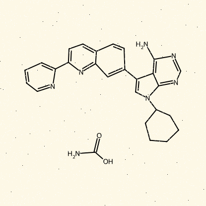 NC(=O)O.Nc1ncnc2c1c(-c1ccc3ccc(-c4ccccn4)nc3c1)cn2C1CCCCC1